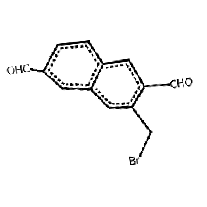 O=Cc1ccc2cc(C=O)c(CBr)cc2c1